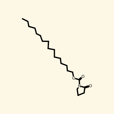 CCCCCCCCCCCCCCCCOC(=O)N1CCCC1=O